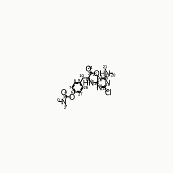 CN(C)C(=O)Oc1ccc(C[C@H](Nc2nc(Cl)nc(N(C)C)n2)C(=O)O)cc1